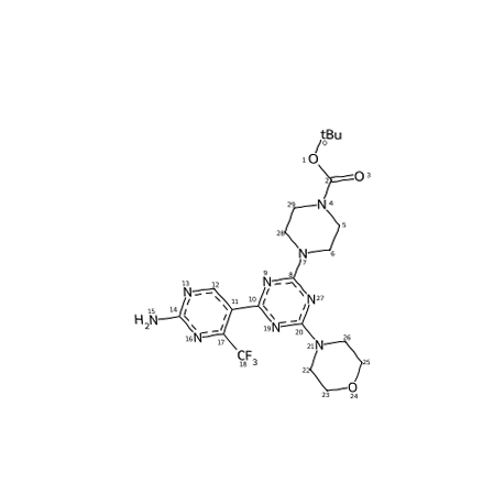 CC(C)(C)OC(=O)N1CCN(c2nc(-c3cnc(N)nc3C(F)(F)F)nc(N3CCOCC3)n2)CC1